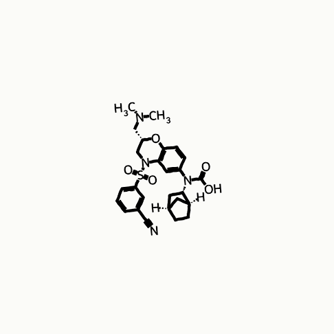 CN(C)C[C@H]1CN(S(=O)(=O)c2cccc(C#N)c2)c2cc(N(C(=O)O)[C@H]3C[C@@H]4CC[C@H]3C4)ccc2O1